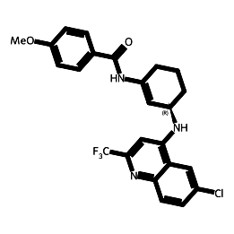 COc1ccc(C(=O)NC2=C[C@H](Nc3cc(C(F)(F)F)nc4ccc(Cl)cc34)CCC2)cc1